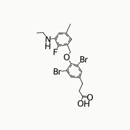 CCNc1cc(C)cc(COc2c(Br)cc(CCC(=O)O)cc2Br)c1F